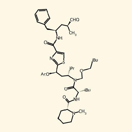 CCC(C)COCN(C(=O)[C@@H](NC(=O)[C@H]1CCCCN1C)C(C)CC)[C@H](C[C@@H](OC(C)=O)c1nc(C(=O)N[C@@H](Cc2ccccc2)C[C@H](C)C=O)cs1)C(C)C